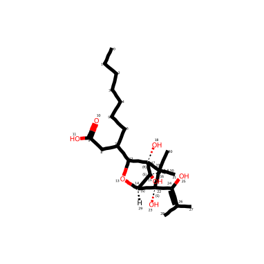 CCCCCCCC(CC(=O)O)C1O[C@H]2[C@H](O)[C@]1(O)C(C)(C)[C@@]2(O)C(O)=C(C)C